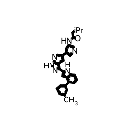 Cc1cccc(-c2cccc3[nH]c(-c4n[nH]c5ncc(-c6cncc(NC(=O)CC(C)C)c6)cc45)cc23)c1